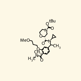 COCCCOc1cc(C(C)N(C(=O)[C@H]2CN(C(=O)OC(C)(C)C)CCO2)C2CC2)ccc1C(=O)N(C)C